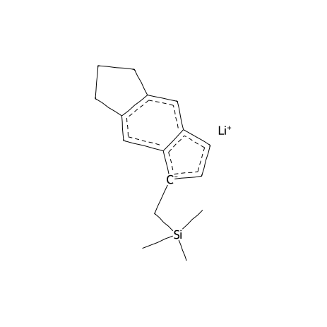 C[Si](C)(C)C[c-]1ccc2cc3c(cc21)CCC3.[Li+]